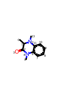 CC1C(=O)N(C)c2ccccc2N1C